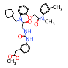 COC(=O)Cc1cccc(NC(=O)NCC(=O)N(CC2CCCCC2)c2ccccc2OCC(=O)N(C)c2cccc(C)c2)c1